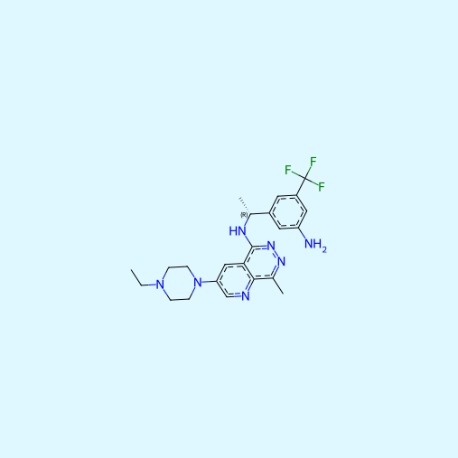 CCN1CCN(c2cnc3c(C)nnc(N[C@H](C)c4cc(N)cc(C(F)(F)F)c4)c3c2)CC1